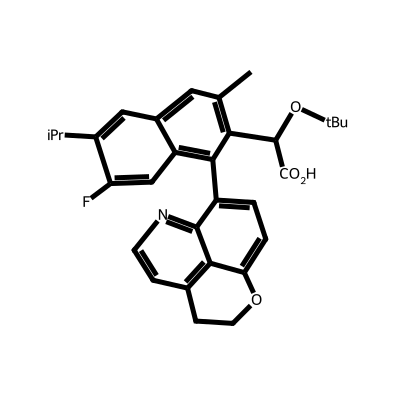 Cc1cc2cc(C(C)C)c(F)cc2c(-c2ccc3c4c(ccnc24)CCO3)c1C(OC(C)(C)C)C(=O)O